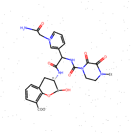 CCN1CCN(C(=O)NC(C(=O)N[C@H]2Cc3cccc(C(=O)[O-])c3OB2O)c2ccc[n+](CC(N)=O)c2)C(=O)C1=O